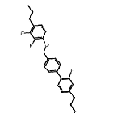 CCCCc1ccc(-c2ccc(COc3ccc(CCC)c(F)c3F)cc2)c(F)c1